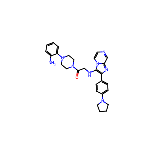 Nc1ccccc1N1CCN(C(=O)CNc2c(-c3ccc(N4CCCC4)cc3)nc3cnccn23)CC1